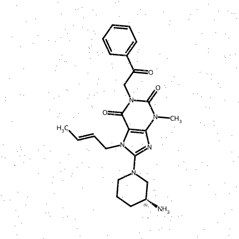 CC=CCn1c(N2CCC[C@H](N)C2)nc2c1c(=O)n(CC(=O)c1ccccc1)c(=O)n2C